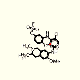 COc1cc2c(cc1Nc1ncc(Cl)c(Nc3cc(OS(=O)(=O)F)ccc3OP(C)C)n1)CN(C)C(C)C2.P